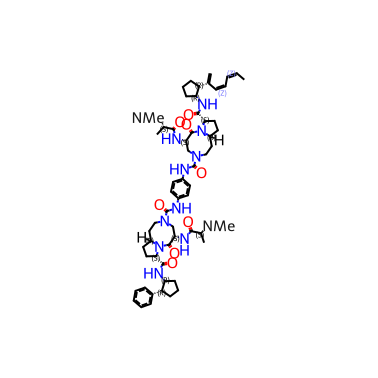 C=C(/C=C\C=C/C)[C@H]1CCC[C@H]1NC(=O)[C@@H]1CC[C@@H]2CCN(C(=O)Nc3ccc(NC(=O)N4CC[C@H]5CC[C@@H](C(=O)N[C@@H]6CCC[C@@H]6c6ccccc6)N5C(=O)[C@@H](NC(=O)[C@H](C)NC)C4)cc3)C[C@H](NC(=O)[C@H](C)NC)C(=O)N21